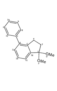 COC1(OC)CCc2c(-c3ccccc3)cccc21